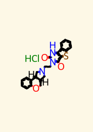 Cl.O=c1[nH]c2c(sc3ccccc32)c(=O)n1CCN1C[C@@H]2COc3ccccc3[C@@H]2C1